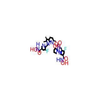 Cc1c(C)n(Cc2ncc(C(=O)NO)cc2F)c2nc(COC(=O)N(Cc3ncc(C(=O)NO)cc3F)c3ncccc3O)ccc12